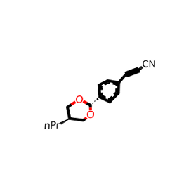 CCC[C@H]1CO[C@H](c2ccc(C#CC#N)cc2)OC1